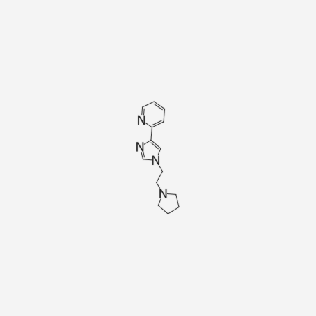 c1ccc(-c2cn(CCN3CCCC3)cn2)nc1